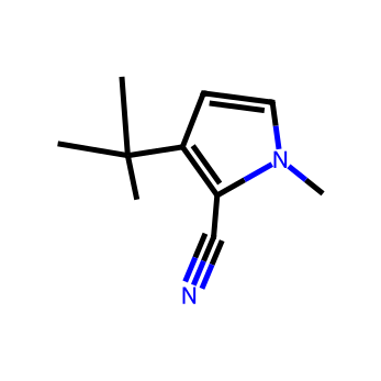 Cn1ccc(C(C)(C)C)c1C#N